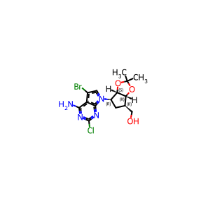 CC1(C)O[C@@H]2[C@@H](CO)C[C@@H](n3cc(Br)c4c(N)nc(Cl)nc43)[C@@H]2O1